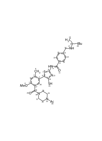 COc1cc(C)c(-c2sc(NC(=O)c3ccc(CNC(C)C(C)(C)C)cc3)nc2S)cc1C(=O)N1CCN(C(C)=O)CC1